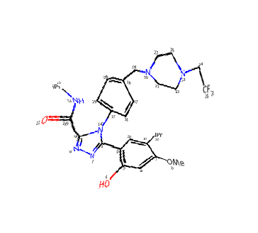 COc1cc(O)c(-c2nnc(C(=O)NC(C)C)n2-c2ccc(CN3CCN(CC(F)(F)F)CC3)cc2)cc1C(C)C